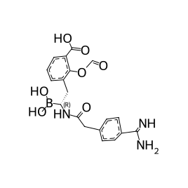 N=C(N)c1ccc(CC(=O)N[C@@H](Cc2cccc(C(=O)O)c2OC=O)B(O)O)cc1